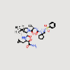 CC(C)(C)[C@H](NC(=O)NC1(CNS(=O)(=O)c2ccccc2)CCCC1)C(=O)N1C[C@H]2[C@@H]([C@H]1C(=O)NC(CC1CC1)C(=O)C(N)=O)C2(C)C